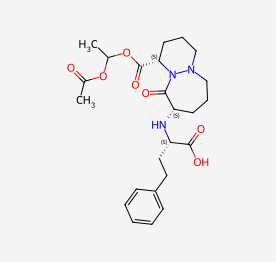 CC(=O)OC(C)OC(=O)[C@@H]1CCCN2CCC[C@H](N[C@@H](CCc3ccccc3)C(=O)O)C(=O)N12